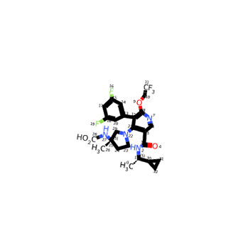 C[C@H](NC(=O)c1cnc(OCC(F)(F)F)c(-c2cc(F)cc(F)c2)c1N1CC[C@](C)(NC(=O)O)C1)C1CC1